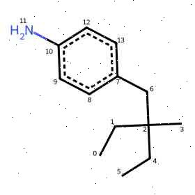 CCC(C)(CC)Cc1ccc(N)cc1